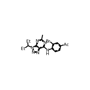 CCC(CC)n1nnc2c(Nc3ccc(C(C)=O)cc3Br)nc(C)nc21